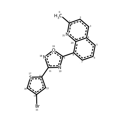 Cc1ccc2cccc(-c3nc(-c4cc(Br)cs4)no3)c2n1